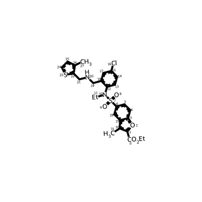 CCOC(=O)c1oc2ccc(S(=O)(=O)N(CC)c3ccc(Cl)cc3CNCc3sccc3C)cc2c1C